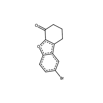 O=C1CCCc2c1oc1ccc(Br)cc21